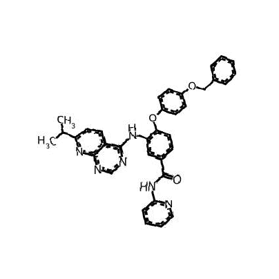 CC(C)c1ccc2c(Nc3cc(C(=O)Nc4ccccn4)ccc3Oc3ccc(OCc4ccccc4)cc3)ncnc2n1